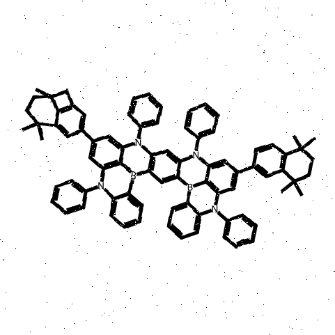 CC1(C)CCC(C)(C)c2cc(-c3cc4c5c(c3)N(c3ccccc3)c3cc6c(cc3B5c3ccccc3N4c3ccccc3)B3c4ccccc4N(c4ccccc4)c4cc(-c5cc7c8c(c5)C(C)(C)CCC8(C)C7)cc(c43)N6c3ccccc3)ccc21